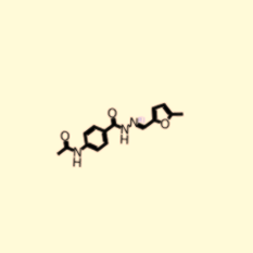 CC(=O)Nc1ccc(C(=O)N/N=C/c2ccc(C)o2)cc1